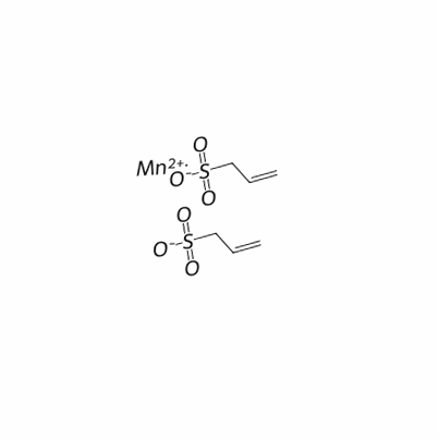 C=CCS(=O)(=O)[O-].C=CCS(=O)(=O)[O-].[Mn+2]